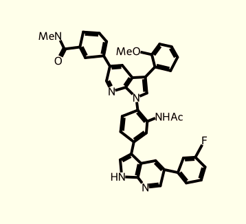 CNC(=O)c1cccc(-c2cnc3c(c2)c(-c2ccccc2OC)cn3-c2ccc(-c3c[nH]c4ncc(-c5cccc(F)c5)cc34)cc2NC(C)=O)c1